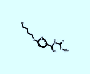 CC(C)(C)OC(=O)NC(=N)c1ccc(OCCCCBr)nc1